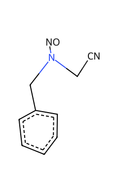 N#CCN(Cc1ccccc1)N=O